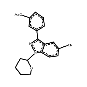 COc1cccc(-c2nn(C3CCCCO3)c3ccc(C#N)cc23)c1